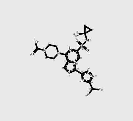 CC(C)C(=O)N1CCN(c2nc(S(=O)(=O)NC3(C)CC3)cn3c(-c4nnc(C(F)F)s4)ncc23)CC1